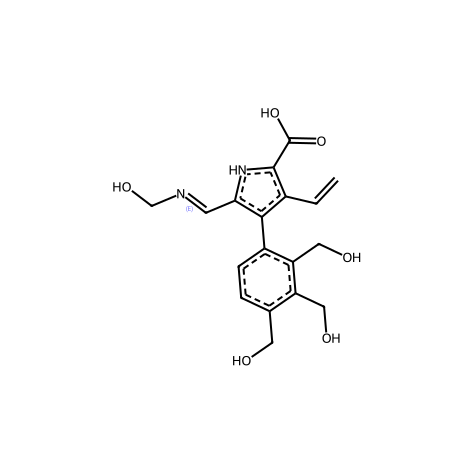 C=Cc1c(C(=O)O)[nH]c(/C=N/CO)c1-c1ccc(CO)c(CO)c1CO